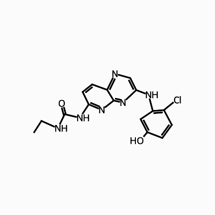 CCNC(=O)Nc1ccc2ncc(Nc3cc(O)ccc3Cl)nc2n1